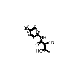 C/C(O)=C(\C#N)C(=O)Nc1ccc(Br)cn1